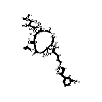 C=CC[C@H]1C(=O)O[C@H](CC)[C@@](C)(O)[C@H](NCCCCn2cc(-c3cccc(N)c3)nn2)[C@@H](C)NC[C@H](C)C[C@@](C)(OC)[C@H](O[C@H](OCC)C(O)C(CC)N(C)C)[C@@H](C)C1=O